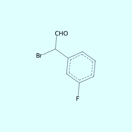 O=CC(Br)c1cccc(F)c1